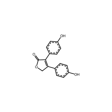 O=C1OCC(c2ccc(O)cc2)=C1c1ccc(O)cc1